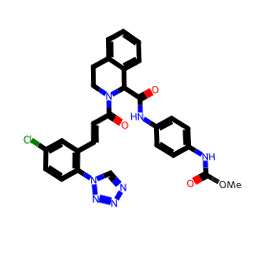 COC(=O)Nc1ccc(NC(=O)C2c3ccccc3CCN2C(=O)C=Cc2cc(Cl)ccc2-n2cnnn2)cc1